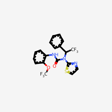 O=C(Nc1ccccc1OC(F)(F)F)N(c1nccs1)C(c1ccccc1)C(F)(F)F